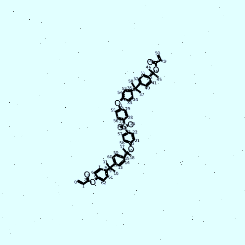 C=CC(=O)Oc1ccc(C(C)(C)c2ccc(C(C)(C)Oc3ccc(S(=O)(=O)c4ccc(Oc5ccc(C(C)(C)c6ccc(C(C)(C)OC(=O)C=C)cc6)cc5)cc4)cc3)cc2)cc1